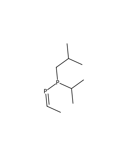 C/C=P\P(CC(C)C)C(C)C